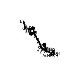 [CH2]CSSCCOC(=O)NCCC(=O)C1Nc2ccccc2-c2c(nnn2CCOCCOCCOCCOC(=O)CCC(C)(C#N)CC(C)(SC(=S)c2ccccc2)C(=O)NCCOC2OC(CO)C(O)C(O)C2NC(C)=O)-c2ccccc21